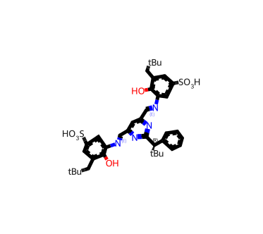 CC(C)(C)Cc1cc(S(=O)(=O)O)cc(/N=C/c2cc(/C=N/c3cc(S(=O)(=O)O)cc(CC(C)(C)C)c3O)nc([C@@H](c3ccccc3)C(C)(C)C)n2)c1O